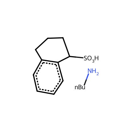 CCCCN.O=S(=O)(O)C1CCCc2ccccc21